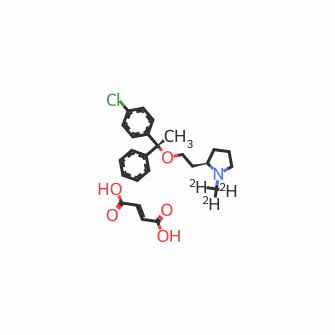 O=C(O)/C=C/C(=O)O.[2H]C([2H])([2H])N1CCC[C@@H]1CCO[C@](C)(c1ccccc1)c1ccc(Cl)cc1